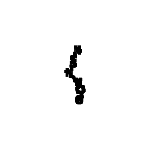 CN(C)CCSSCCN(C)CCCN(C)c1ccc(C=O)cc1